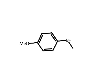 CBc1ccc(OC)cc1